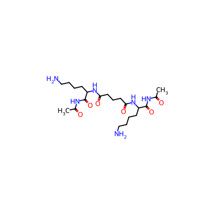 CC(=O)NC(=O)C(CCCCN)NC(=O)CCCC(=O)NC(CCCCN)C(=O)NC(C)=O